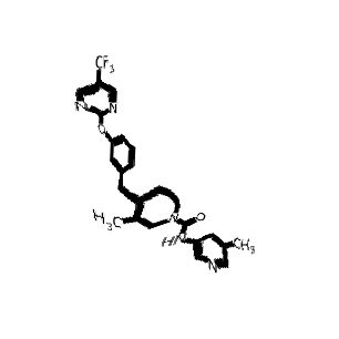 Cc1cncc(NC(=O)N2CCC(=Cc3cccc(Oc4ncc(C(F)(F)F)cn4)c3)C(C)C2)c1